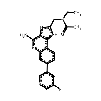 CCN(Cc1nc2c(N)nc3cc(-c4cncc(F)c4)ccc3c2[nH]1)C(C)=O